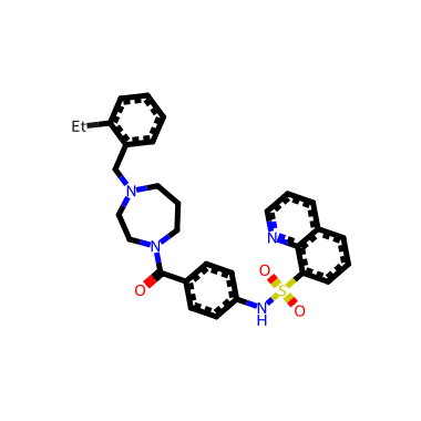 CCc1ccccc1CN1CCCN(C(=O)c2ccc(NS(=O)(=O)c3cccc4cccnc34)cc2)CC1